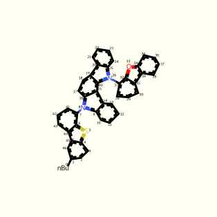 CCCCc1ccc2sc3c(-n4c5ccccc5c5c4ccc4c6ccccc6n(-c6cccc7c6oc6ccccc67)c45)cccc3c2c1